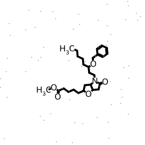 CCCCCC(CCN1C(=O)CC2OC(CCCCC(=O)OC)CC21)OCc1ccccc1